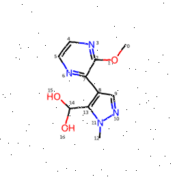 COc1nccnc1-c1cnn(C)c1C(O)O